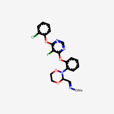 CON=CC1OCCON1c1ccccc1Oc1ncnc(Oc2ccccc2Cl)c1F